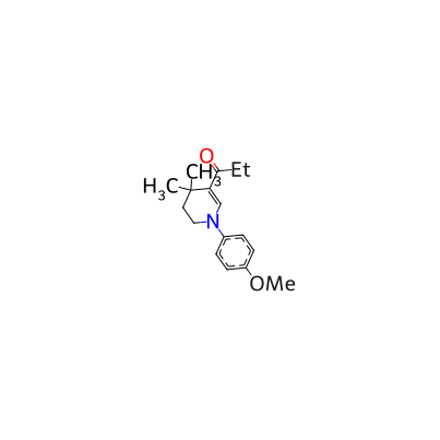 CCC(=O)C1=CN(c2ccc(OC)cc2)CCC1(C)C